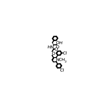 CN1C(c2ccc(Cl)cc2)CC=C(COCC(=O)N[C@@H](Cc2ccccc2)C(=O)O)C1c1cccc(Cl)c1